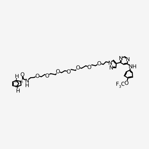 O=C(NCCOCCOCCOCCOCCOCCOCCOCCn1cc(-c2cc(Nc3ccc(OC(F)(F)F)cc3)ncn2)cn1)[C@@H]1C[C@@H]2C=C[C@H]1C2